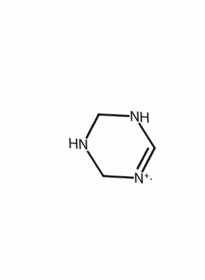 C1=[N+]CNCN1